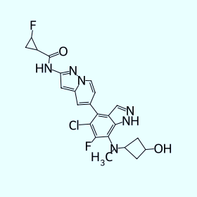 CN(c1c(F)c(Cl)c(-c2ccn3nc(NC(=O)C4CC4F)cc3c2)c2cn[nH]c12)C1CC(O)C1